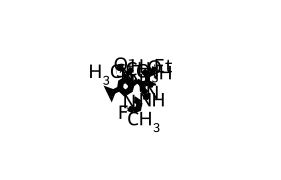 CCONC(=O)c1cnc(Nc2cnc(F)c(C)c2)cc1Nc1ccc(C2CC2)cc1N(C)[S+](C)[O-]